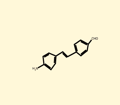 Nc1ccc(/C=C/c2ccc(C=O)cc2)cc1